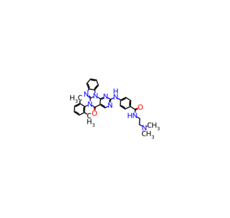 Cc1cccc(C)c1-n1c(=O)c2cnc(Nc3ccc(C(=O)NCCN(C)C)cc3)nc2n2c3ccccc3nc12